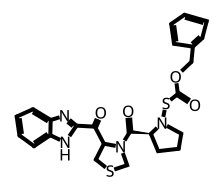 O=C(OCc1ccccc1)SN1CCC[C@H]1C(=O)N1CSCC1C(=O)c1nc2ccccc2[nH]1